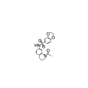 CC(=O)N1CCCc2ccc(NS(=O)(=O)c3ccc4c(c3)OCCO4)cc21